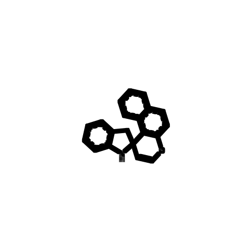 C1=CC2(Cc3ccccc3N2)c2c(ccc3ccccc23)O1